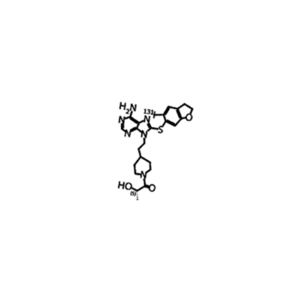 C[C@H](O)C(=O)N1CCC(CCn2c(Sc3cc4c(cc3[131I])CCO4)nc3c(N)ncnc32)CC1